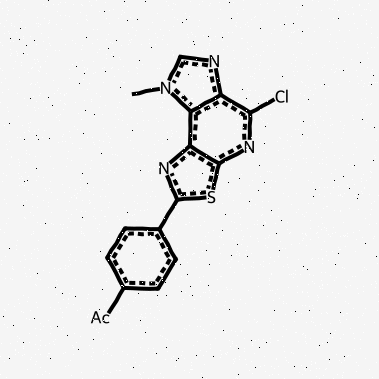 CC(=O)c1ccc(-c2nc3c(nc(Cl)c4ncn(C)c43)s2)cc1